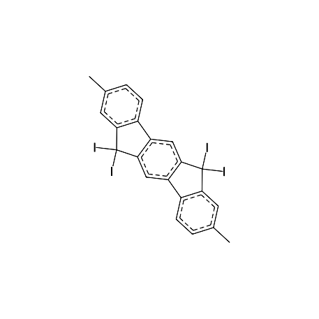 Cc1ccc2c(c1)C(I)(I)c1cc3c(cc1-2)C(I)(I)c1cc(C)ccc1-3